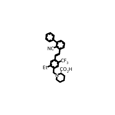 CCc1cc(/C=C/c2cccc(-c3ccccc3)c2C#N)c(C(F)(F)F)cc1CN1CCCC[C@H]1C(=O)O